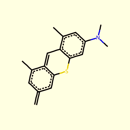 C=c1cc(C)c2c(c1)Sc1cc(N(C)C)cc(C)c1C=2